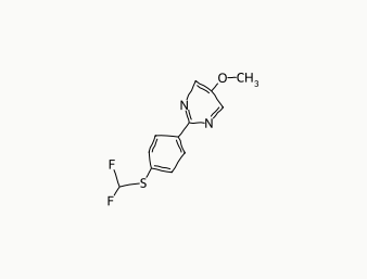 COc1cnc(-c2ccc(SC(F)F)cc2)nc1